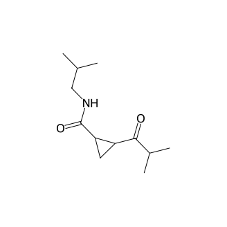 CC(C)CNC(=O)C1CC1C(=O)C(C)C